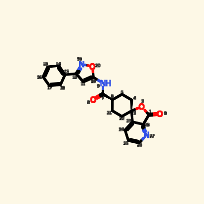 O=C1O[C@]2(CC[C@H](C(=O)Nc3cc(-c4ccccc4)no3)CC2)c2cccnc21